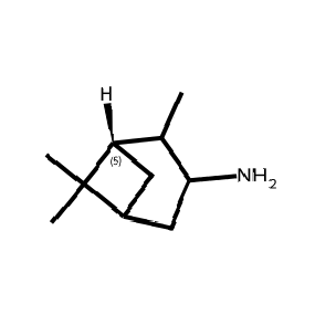 CC1C(N)CC2C[C@@H]1C2(C)C